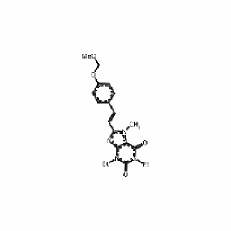 CCn1c(=O)c2c(nc(C=Cc3ccc(OCOC)cc3)n2C)n(CC)c1=O